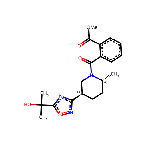 COC(=O)c1ccccc1C(=O)N1C[C@H](c2noc(C(C)(C)O)n2)CC[C@H]1C